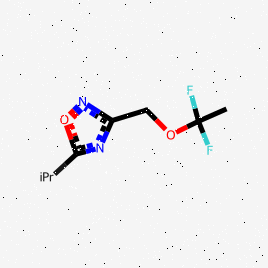 CC(C)c1nc(COC(C)(F)F)no1